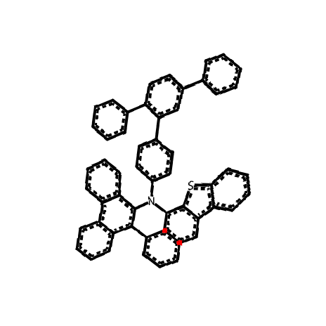 c1ccc(-c2ccc(-c3ccccc3)c(-c3ccc(N(c4c(-c5ccccc5)c5ccccc5c5ccccc45)c4cccc5c4sc4ccccc45)cc3)c2)cc1